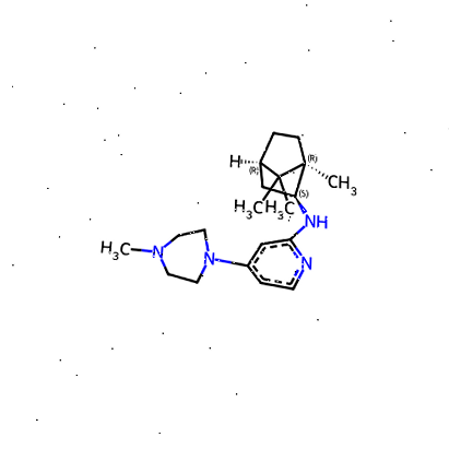 CN1CCN(c2ccnc(N[C@H]3C[C@H]4CC[C@]3(C)C4(C)C)c2)CC1